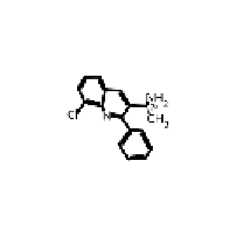 C[C@@H](N)c1cc2cccc(Cl)c2nc1-c1ccccc1